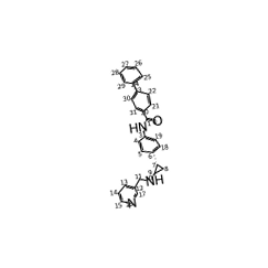 O=C(Nc1ccc([C@@H]2C[C@H]2NCc2cccnc2)cc1)c1ccc(-c2ccccc2)cc1